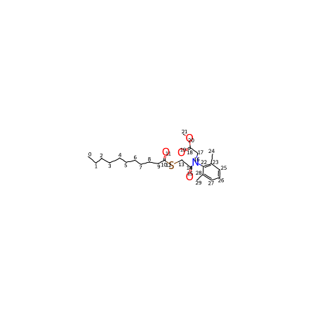 CCCCCCCCCCC(=O)SCC(=O)N(CC(=O)OC)c1c(C)cccc1C